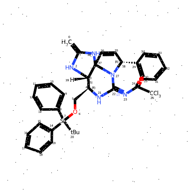 C=C1N[C@H]2[C@H](CO[Si](c3ccccc3)(c3ccccc3)C(C)(C)C)N/C(=N/C(=O)C(Cl)(Cl)Cl)N3[C@@H](c4ccccc4)C=CC23N1